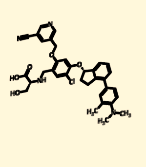 Cc1cc(-c2cccc3c2CC[C@@H]3Oc2cc(OCc3cncc(C#N)c3)c(CN[C@@H](CO)C(=O)O)cc2Cl)ccc1N(C)C